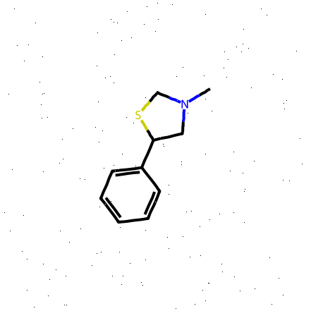 CN1CSC(c2ccccc2)C1